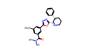 CCCN(CCC)C(=O)c1cc(OC)cc(-c2nnc([C@H]3NCCC[C@H]3c3ccccc3)o2)c1